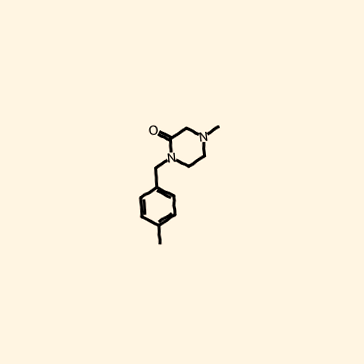 Cc1ccc(CN2CCN(C)CC2=O)cc1